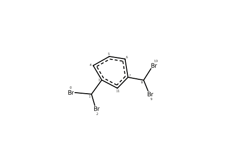 BrC(Br)c1cccc(C(Br)Br)c1